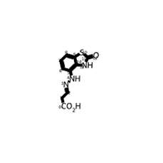 O=C(O)CC=NNc1cccc2sc(=O)[nH]c12